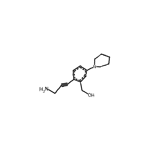 NCC#Cc1ccc(N2CCCCC2)cc1CO